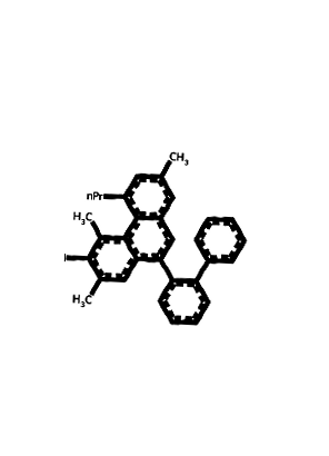 CCCc1cc(C)cc2cc(-c3ccccc3-c3ccccc3)c3cc(C)c(I)c(C)c3c12